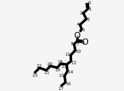 C=CCCCCOC(=O)CCCCC(CCCC)CCCCCC